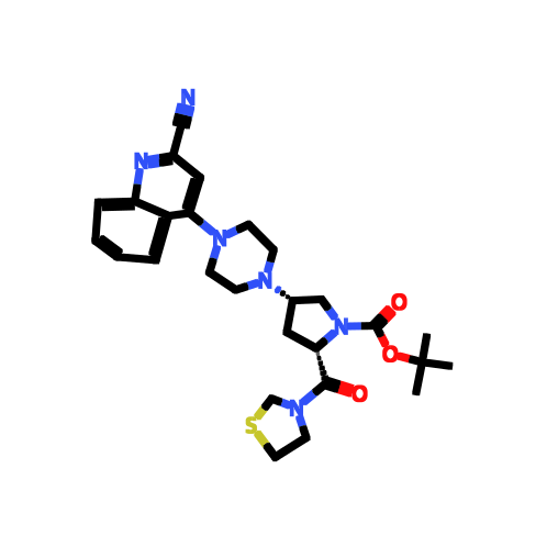 CC(C)(C)OC(=O)N1C[C@@H](N2CCN(c3cc(C#N)nc4ccccc34)CC2)C[C@H]1C(=O)N1CCSC1